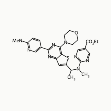 CCOC(=O)c1cnc(N(C)C(C)c2cc3nc(-c4ccc(NC)nc4)nc(N4CCOCC4)c3s2)nc1